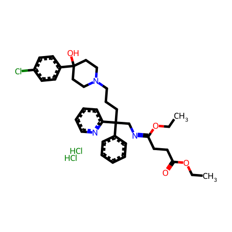 CCOC(=O)CCC(=NCC(CCCN1CCC(O)(c2ccc(Cl)cc2)CC1)(c1ccccc1)c1ccccn1)OCC.Cl.Cl